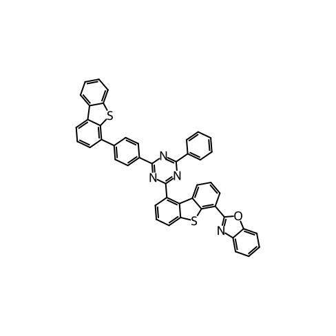 c1ccc(-c2nc(-c3ccc(-c4cccc5c4sc4ccccc45)cc3)nc(-c3cccc4sc5c(-c6nc7ccccc7o6)cccc5c34)n2)cc1